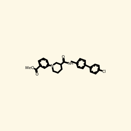 COC(=O)c1cccc(N2CCCC(C(=O)NCc3ccc(-c4ccc(Cl)cc4)cc3)C2)c1